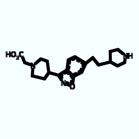 O=C(O)CN1CCC(c2noc3cc(CCC4CCNCC4)ccc23)CC1